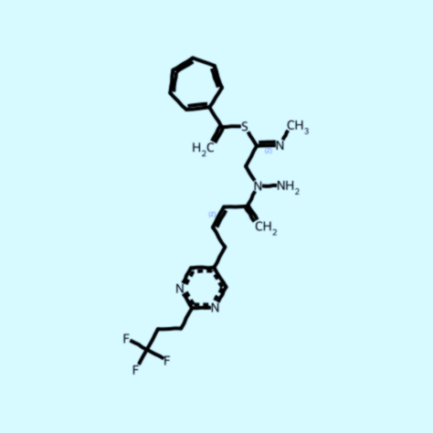 C=C(S/C(CN(N)C(=C)/C=C\Cc1cnc(CCC(F)(F)F)nc1)=N\C)C1=CC=C=CC=C1